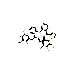 CCc1cc(CC(c2cccs2)c2ccccc2Cc2ccccc2C(Cc2cc(CC)c(N)c(CC)c2Cl)c2cccs2)c(Cl)c(CC)c1N